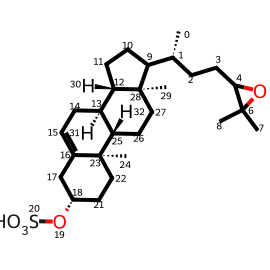 C[C@H](CCC1OC1(C)C)C1CC[C@H]2[C@@H]3CC=C4C[C@@H](OS(=O)(=O)O)CC[C@]4(C)[C@H]3CC[C@]12C